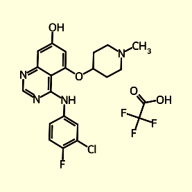 CN1CCC(Oc2cc(O)cc3ncnc(Nc4ccc(F)c(Cl)c4)c23)CC1.O=C(O)C(F)(F)F